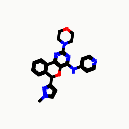 Cn1ccc(C2Oc3c(Nc4ccncc4)nc(N4CCOCC4)nc3-c3ccccc32)n1